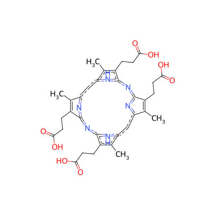 CC1=C(CCC(=O)O)c2nc1cc1[nH]c(nc3nc(cc4[nH]c(n2)c(CCC(=O)O)c4C)C(C)=C3CCC(=O)O)c(CCC(=O)O)c1C